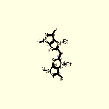 CCN1/C(=C/c2sc3c(c(C)nn3C)[n+]2CC)Sc2c1c(C)nn2C